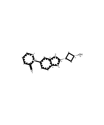 O=c1cccnn1-c1ccc2nc([C@H]3C[C@@H](O)C3)sc2c1